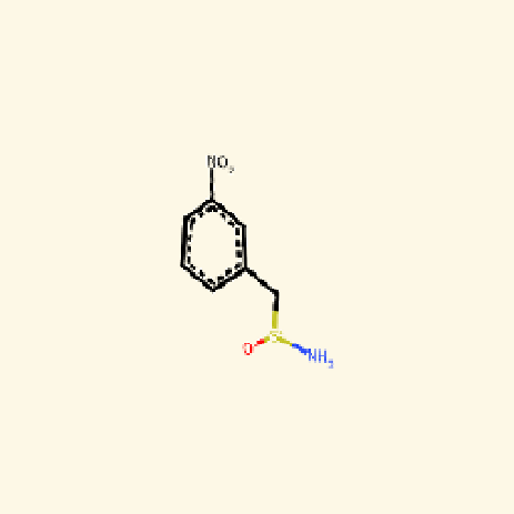 N[S+]([O-])Cc1cccc([N+](=O)[O-])c1